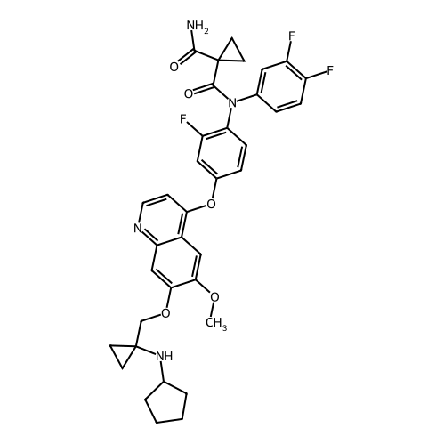 COc1cc2c(Oc3ccc(N(C(=O)C4(C(N)=O)CC4)c4ccc(F)c(F)c4)c(F)c3)ccnc2cc1OCC1(NC2CCCC2)CC1